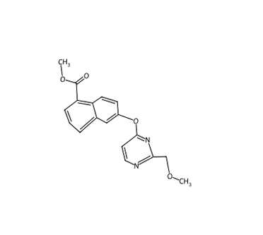 COCc1nccc(Oc2ccc3c(C(=O)OC)cccc3c2)n1